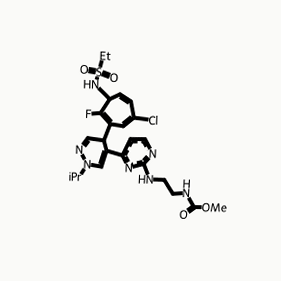 CCS(=O)(=O)NC1C=CC(Cl)=CC(C2C=NN(C(C)C)C=C2c2ccnc(NCCNC(=O)OC)n2)=C1F